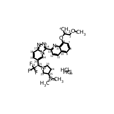 COCC(C)Oc1cccc2ccc(-c3nnc4ccc([C@@H](N5CCC(N(C)C)C5)C(F)(F)F)cn34)nc12.Cl.Cl